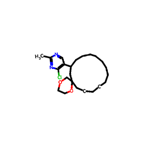 Cc1ncc(C2CCCCCCCCCCCCC3(COCCO3)C2)c(Cl)n1